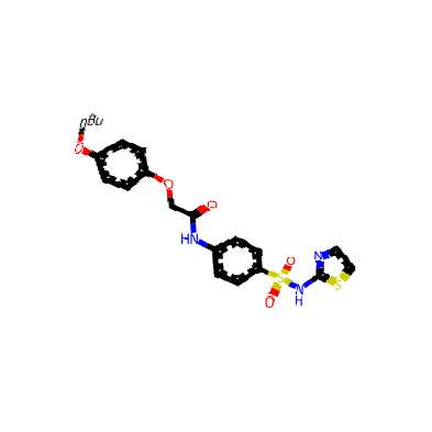 CCCCOc1ccc(OCC(=O)Nc2ccc(S(=O)(=O)Nc3nccs3)cc2)cc1